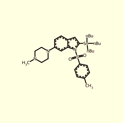 CCC[CH2][Sn]([CH2]CCC)([CH2]CCC)[c]1cc2ccc(N3CCN(C)CC3)cc2n1S(=O)(=O)c1ccc(C)cc1